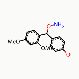 COc1ccc(C(ON)c2ccc([O])cc2)c(OC)c1